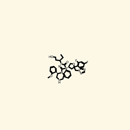 CCC(CCO)N1N=C(N2CCNC[C@H]2c2ccccc2OC)[N+](c2ccccc2)(C2COC(Cn3cncn3)(c3ccc(F)cc3F)C2)C1=O